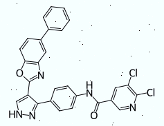 O=C(Nc1ccc(-c2n[nH]cc2-c2nc3cc(-c4ccccc4)ccc3o2)cc1)c1cnc(Cl)c(Cl)c1